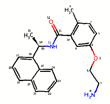 Cc1ccc(OCCN)cc1C(=O)N[C@H](C)c1cccc2ccccc12